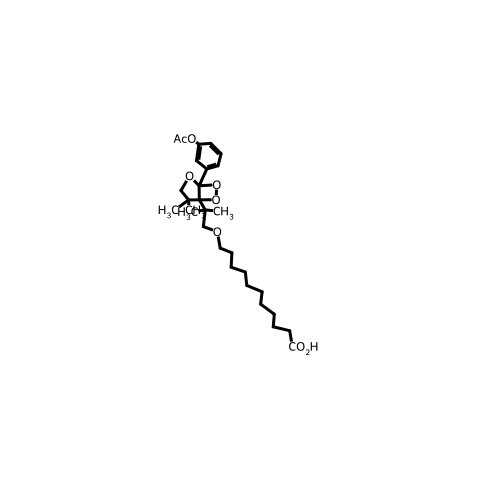 CC(=O)Oc1cccc(C23OCC(C)(C)C2(C(C)(C)COCCCCCCCCCCC(=O)O)OO3)c1